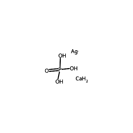 O=P(O)(O)O.[Ag].[CaH2]